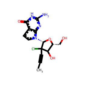 CC#CC1(Cl)C(O)[C@@H](CO)O[C@H]1n1ccc2c(=O)[nH]c(N)nc21